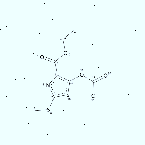 CCOC(=O)c1nc(SC)sc1OC(=O)Cl